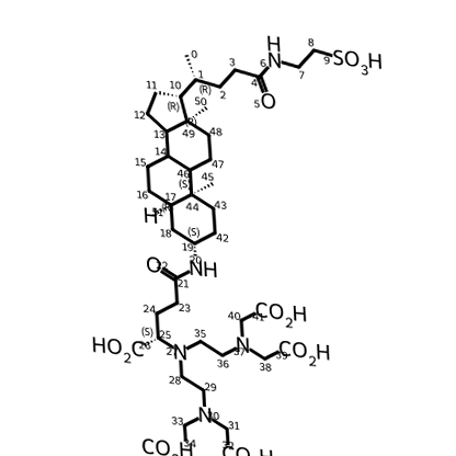 C[C@H](CCC(=O)NCCS(=O)(=O)O)[C@H]1CCC2C3CC[C@@H]4C[C@@H](NC(=O)CC[C@@H](C(=O)O)N(CCN(CC(=O)O)CC(=O)O)CCN(CC(=O)O)CC(=O)O)CC[C@]4(C)C3CC[C@@]21C